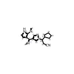 C=Nc1[nH]ccc1/C(=N\C)c1cnn(C(CC#N)C2CCCC2)c1